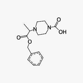 CC(C(=O)OCc1ccccc1)N1CCN(C(=O)O)CC1